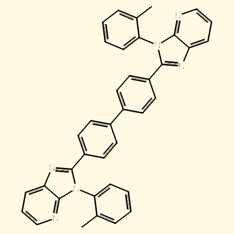 Cc1ccccc1-n1c(-c2ccc(-c3ccc(-c4nc5cccnc5n4-c4ccccc4C)cc3)cc2)nc2cccnc21